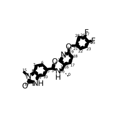 C[C@H](NC(=O)c1ccc2c(c1)[nH]c(=O)n2C)c1ccc(Oc2ccc(F)c(F)c2)nc1